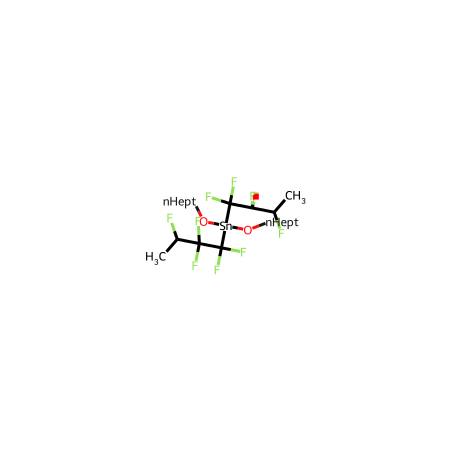 CCCCCCC[O][Sn]([O]CCCCCCC)([C](F)(F)C(F)(F)C(C)F)[C](F)(F)C(F)(F)C(C)F